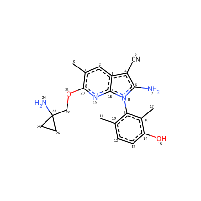 Cc1cc2c(C#N)c(N)n(-c3c(C)ccc(O)c3C)c2nc1OCC1(N)CC1